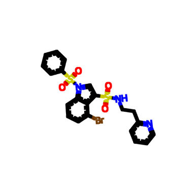 O=S(=O)(NCCc1ccccn1)c1cn(S(=O)(=O)c2ccccc2)c2cccc(Br)c12